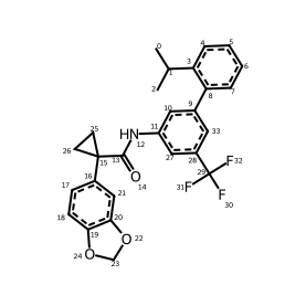 CC(C)c1ccccc1-c1cc(NC(=O)C2(c3ccc4c(c3)OCO4)CC2)cc(C(F)(F)F)c1